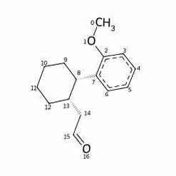 COc1ccccc1[C@H]1CCCC[C@H]1CC=O